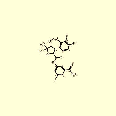 COc1c([C@@H]2[C@@H](C(=O)Nc3cc(F)nc(C(N)=O)c3)O[C@@](C)(C(F)(F)F)[C@@H]2C)ccc(F)c1F